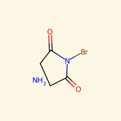 N.O=C1CCC(=O)N1Br